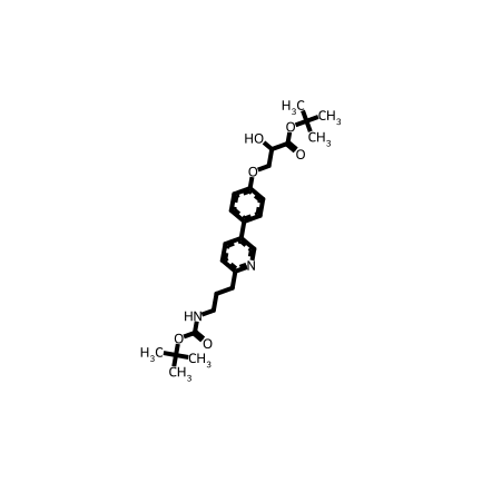 CC(C)(C)OC(=O)NCCCc1ccc(-c2ccc(OCC(O)C(=O)OC(C)(C)C)cc2)cn1